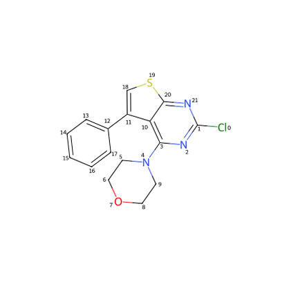 Clc1nc(N2CCOCC2)c2c(-c3ccccc3)csc2n1